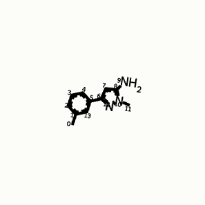 Cc1cccc(-c2cc(N)n(C)n2)c1